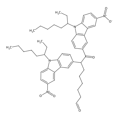 CCCCCC(CC)n1c2ccc(C(=O)C(CCCCCC=O)c3ccc4c(c3)c3cc([N+](=O)[O-])ccc3n4C(CC)CCCCC)cc2c2cc([N+](=O)[O-])ccc21